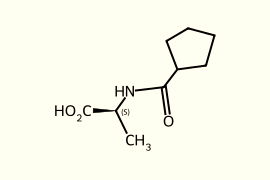 C[C@H](NC(=O)C1CCCC1)C(=O)O